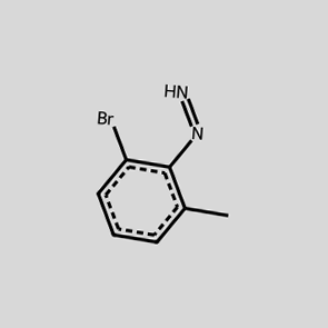 Cc1cccc(Br)c1N=N